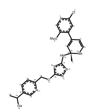 COc1cnc(Cl)cc1C1=C[C@@](C)(Nc2nnc(OCc3ccc(C(C)O)cn3)s2)NC=C1